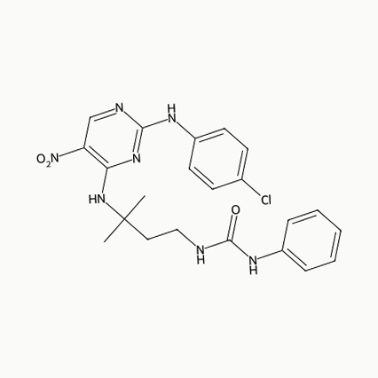 CC(C)(CCNC(=O)Nc1ccccc1)Nc1nc(Nc2ccc(Cl)cc2)ncc1[N+](=O)[O-]